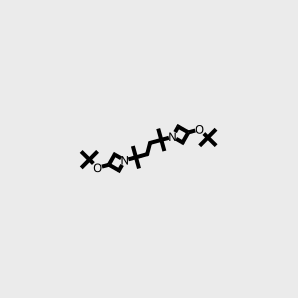 CC(C)(C)OC1CN(C(C)(C)CCC(C)(C)N2CC(OC(C)(C)C)C2)C1